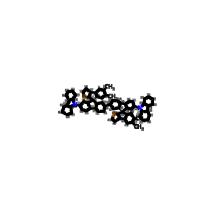 Cc1cc2c(cc1C)[C@@]1(c3cc(-c4ccc5c(c4)[C@]4(c6cc(-n7c8ccccc8c8ccccc87)ccc6-5)c5cc(C)c(C)cc5-c5ccsc54)ccc3-c3ccc(-n4c5ccccc5c5ccccc54)cc31)c1sccc1-2